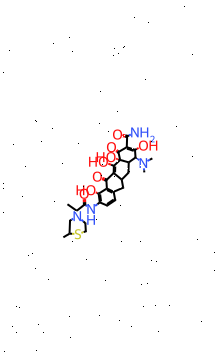 CC1CN(C(C)C(=O)Nc2ccc3c(c2O)C(=O)C2=C(O)[C@]4(O)C(=O)C(C(N)=O)=C(O)[C@@H](N(C)C)C4CC2C3)CCS1